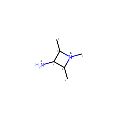 CC1C(N)C(C)N1C